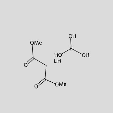 COC(=O)CC(=O)OC.OB(O)O.[LiH]